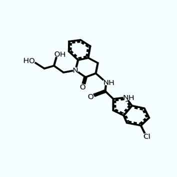 O=C(NC1Cc2ccccc2N(CC(O)CO)C1=O)c1cc2cc(Cl)ccc2[nH]1